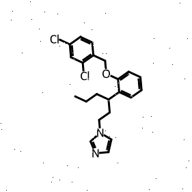 CCCC(CCn1ccnc1)c1ccccc1OCc1ccc(Cl)cc1Cl